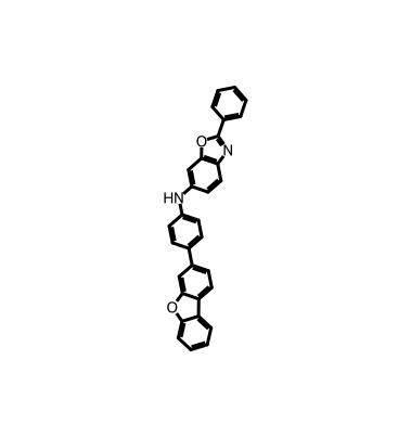 c1ccc(-c2nc3ccc(Nc4ccc(-c5ccc6c(c5)oc5ccccc56)cc4)cc3o2)cc1